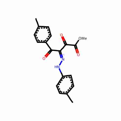 COC(=O)C(=O)/C(=N/Nc1ccc(C)cc1)C(=O)c1ccc(C)cc1